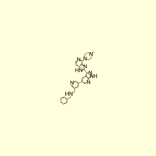 CN1CCN(c2nccc3[nH]c(-c4n[nH]c5ncc(-c6cncc(CNCc7ccccc7)c6)cc45)nc23)CC1